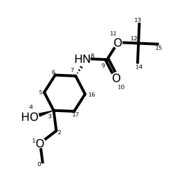 COC[C@]1(O)CC[C@H](NC(=O)OC(C)(C)C)CC1